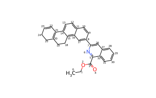 CCOC(=O)c1nc(-c2ccc3ccc4c(c3c2)CCC2=C4C=CCC2)cc2ccccc12